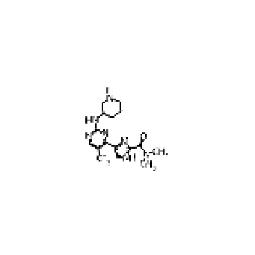 CN(C)C(=O)c1nc(-c2nc(NC3CCCNC3)ncc2C(F)(F)F)c[nH]1